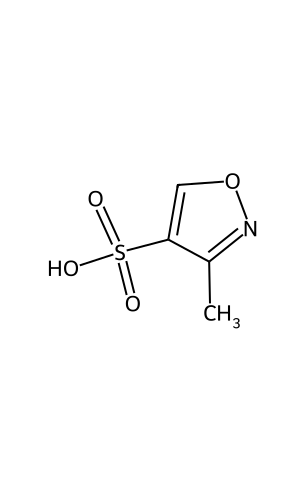 Cc1nocc1S(=O)(=O)O